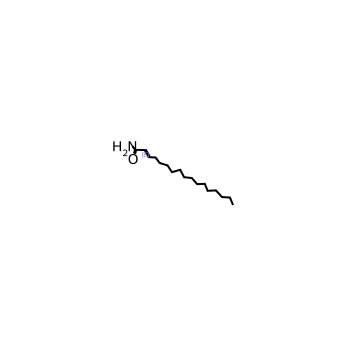 CCCCCCCCCCCCCC/C=C/C(N)=O